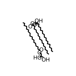 CCCCCCCCCCCCCCCCCC(=O)O.CCCCCCCCCCCCCCCCCC(=O)O.CCCCCCCCCCCCCCCCCC(=O)OCC(O)CO